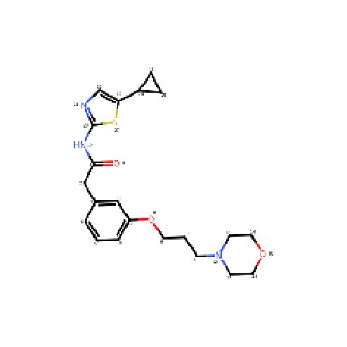 O=C(Cc1cccc(OCCCN2CCOCC2)c1)Nc1ncc(C2CC2)s1